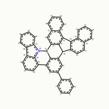 c1ccc(-c2cc3c4c(c2)C2c5ccc6ccccc6c5-c5c2c(cc2ccccc52)B4n2c4ccccc4c4cccc-3c42)cc1